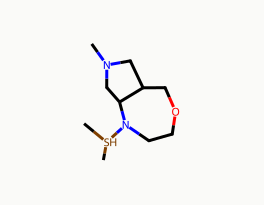 CN1CC2COCCN([SH](C)C)C2C1